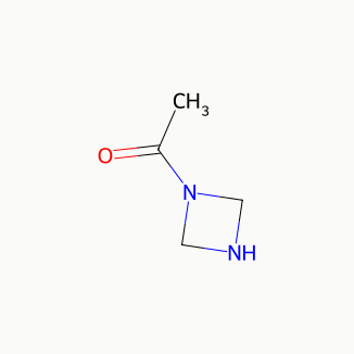 CC(=O)N1CNC1